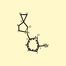 Brc1cccc(N2CCC3(CC3)C2)n1